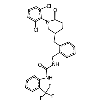 O=C(NCc1ccccc1CC1CCC(=O)N(c2c(Cl)cccc2Cl)C1)Nc1ccccc1C(F)(F)F